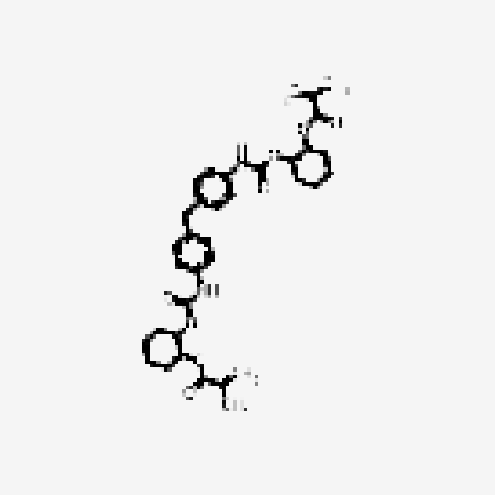 C=C(C)C(=O)OC1CCCCC1OC(=O)Nc1ccc(Cc2ccc(NC(=O)OC3CCCCC3OC(=O)C(=C)C)cc2)cc1